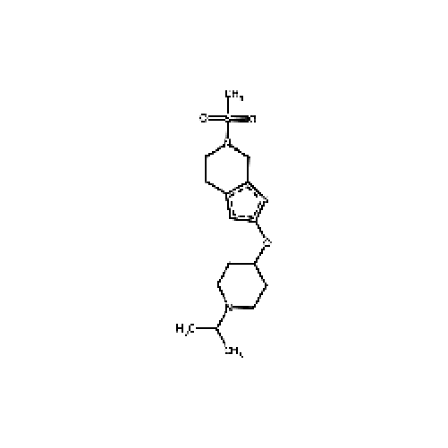 CC(C)N1CCC(Oc2cc3c(s2)CN(S(C)(=O)=O)CC3)CC1